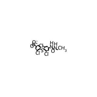 CCNC(=O)Nc1cc(Cl)c(Sc2ccc([N+](=O)[O-])cc2Cl)c(Cl)c1